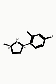 Cc1cc(F)ccc1[C@H]1CC[C@@H](C)N1